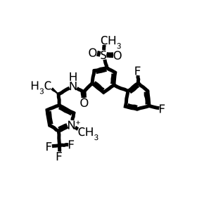 C[C@@H](NC(=O)c1cc(-c2ccc(F)cc2F)cc(S(C)(=O)=O)c1)c1ccc(C(F)(F)F)[n+](C)c1